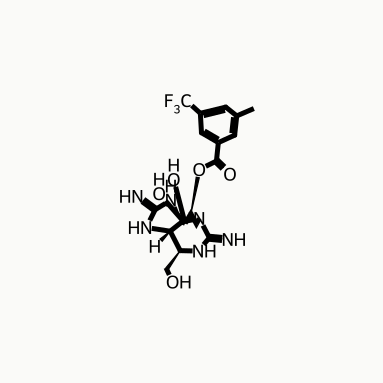 Cc1cc(C(=O)O[C@H]2CN3C(=N)N[C@@H](CO)[C@@H]4NC(=N)N[C@@]43C2(O)O)cc(C(F)(F)F)c1